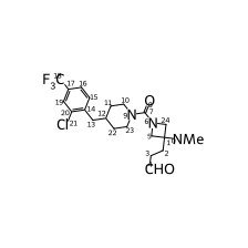 CNC1(CCC=O)CN(C(=O)N2CCC(Cc3ccc(C(F)(F)F)cc3Cl)CC2)C1